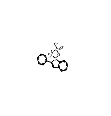 [O-][Cl+3]([O-])([O-])OS1(C(F)(F)F)C(c2ccccc2)=Cc2ccccc21